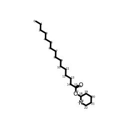 CCCCCCCCCCCCCCCC(=O)OC1CCCC[N]1